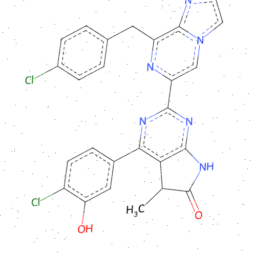 CC1C(=O)Nc2nc(-c3cn4ccnc4c(Cc4ccc(Cl)cc4)n3)nc(-c3ccc(Cl)c(O)c3)c21